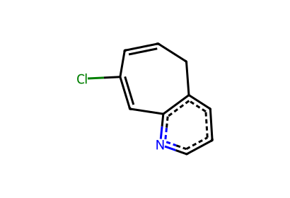 ClC1=Cc2ncccc2CC=C1